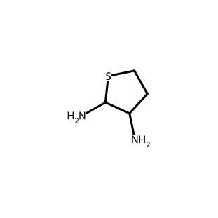 NC1CCSC1N